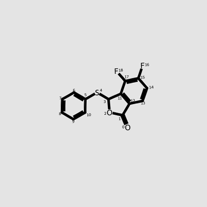 O=C1OC(Sc2ccccc2)c2c1ccc(F)c2F